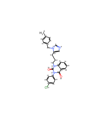 Cc1ccc(Cn2cncc2CCCn2c(=O)n(-c3ccc(Cl)cc3)c(=O)c3ccccc32)cc1